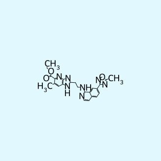 CCOC(=O)c1nc2nc(CCNc3nccc4ccc(-c5noc(C)n5)cc34)[nH]c2cc1C